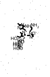 Cc1ncc(C[n+]2csc(CCO)c2C)c(N)n1.Cc1nccn1CCCN.O=P(O)(O)OP(=O)(O)O.[Cl-]